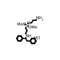 CO[Si](CCCNC(Cc1ccccc1)c1ccccc1)(OC)OCCCN.Cl